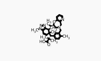 CC[C@@H]1CN(Cc2cc([C@H](C(C)(C)C(=O)O)C3(C)C=Cc4c(nnn4C)C3C)ccc2C)Cc2ncccc2O1